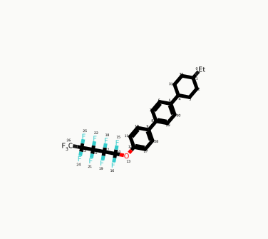 CCC1CCC(c2ccc(-c3ccc(OC(F)(F)C(F)(F)C(F)(F)C(F)(F)C(F)(F)F)cc3)cc2)CC1